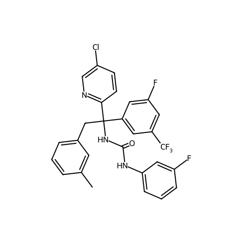 Cc1cccc(CC(NC(=O)Nc2cccc(F)c2)(c2cc(F)cc(C(F)(F)F)c2)c2ccc(Cl)cn2)c1